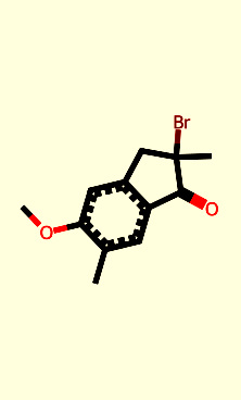 COc1cc2c(cc1C)C(=O)C(C)(Br)C2